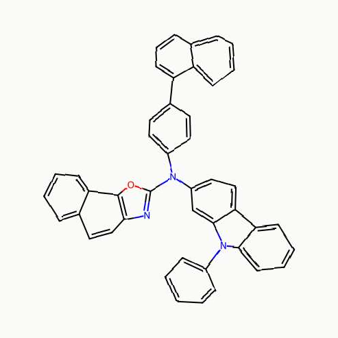 c1ccc(-n2c3ccccc3c3ccc(N(c4ccc(-c5cccc6ccccc56)cc4)c4nc5ccc6ccccc6c5o4)cc32)cc1